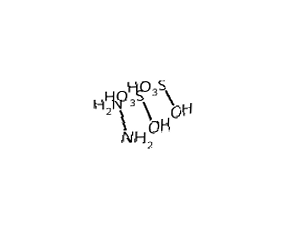 NN.O=S(=O)(O)O.O=S(=O)(O)O